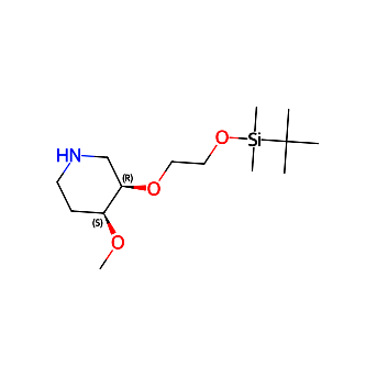 CO[C@H]1CCNC[C@H]1OCCO[Si](C)(C)C(C)(C)C